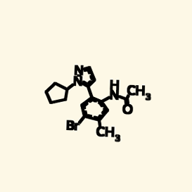 CC(=O)Nc1cc(C)c(Br)cc1-c1ccnn1C1CCCC1